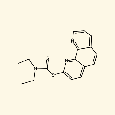 CCN(CC)C(=S)Sc1ccc2ccc3cccnc3c2n1